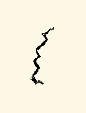 CCCCCCOCCCCCOCCCCC